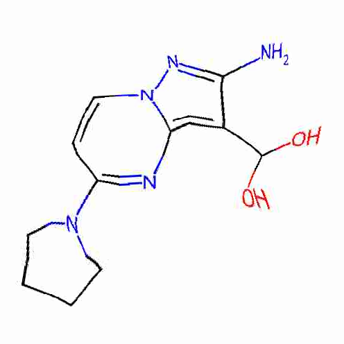 Nc1nn2ccc(N3CCCC3)nc2c1C(O)O